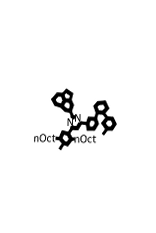 CCCCCCCCc1cc(-c2cc(-c3cccc(-c4ccccc4-c4cccc(C)c4)c3)nc(-c3cc4c5c(cccc5c3)C=C4)n2)c(CCCCCCCC)cc1C